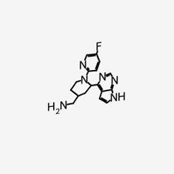 NCC1CCN(c2ccc(F)cn2)C(c2ncnc3[nH]ccc23)C1